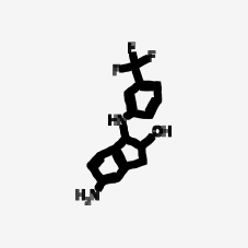 Nc1ccc2c(c1)CC(O)C2Nc1cccc(C(F)(F)F)c1